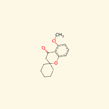 COc1cccc2c1C(=O)CC1(CCCCC1)O2